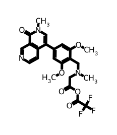 COc1cc(-c2cn(C)c(=O)c3cnccc23)cc(OC)c1CN(C)CC(=O)OC(=O)C(F)(F)F